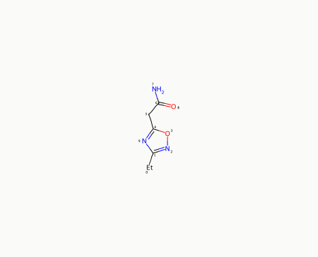 CCc1noc(CC(N)=O)n1